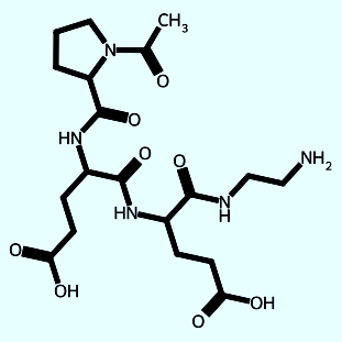 CC(=O)N1CCCC1C(=O)NC(CCC(=O)O)C(=O)NC(CCC(=O)O)C(=O)NCCN